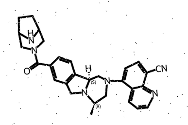 C[C@@H]1CN(c2ccc(C#N)c3ncccc23)C[C@@H]2c3ccc(C(=O)N4CC5CCC(C4)N5)cc3CN12